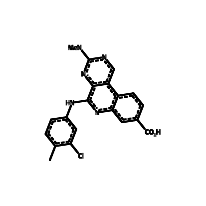 CNc1ncc2c(n1)c(Nc1ccc(C)c(Cl)c1)nc1cc(C(=O)O)ccc12